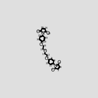 O=C1C=CC(=O)N1c1ccc(OCCOCCOc2ccc(N3C(=O)C=CC3=O)cc2)cc1